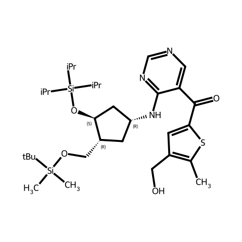 Cc1sc(C(=O)c2cncnc2N[C@@H]2C[C@H](CO[Si](C)(C)C(C)(C)C)[C@@H](O[Si](C(C)C)(C(C)C)C(C)C)C2)cc1CO